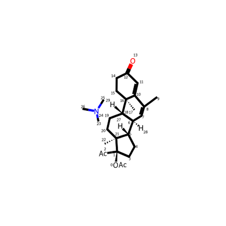 CC(=O)O[C@]1(C(C)=O)CC[C@H]2[C@@H]3C=C(C)C4=CC(=O)CC[C@]4(C)[C@H]3CC[C@@]21C.CN(C)C